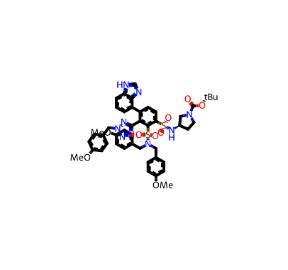 COc1ccc(CN(Cc2ccc(OC)cc2)S(=O)(=O)c2c(S(=O)(=O)N[C@@H]3CCN(C(=O)OC(C)(C)C)C3)ccc(-c3cccc4[nH]cnc34)c2-c2nnn(Cc3ccc(OC)cc3)n2)cc1